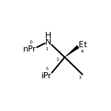 CCCN[C@@](C)(CC)C(C)C